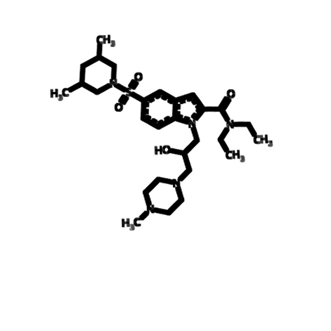 CCN(CC)C(=O)c1cc2cc(S(=O)(=O)N3CC(C)CC(C)C3)ccc2n1CC(O)CN1CCN(C)CC1